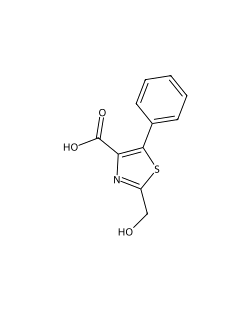 O=C(O)c1nc(CO)sc1-c1ccccc1